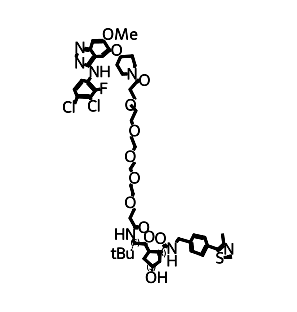 COc1cc2ncnc(Nc3ccc(Cl)c(Cl)c3F)c2cc1OC1CCN(C(=O)CCOCCOCCOCCOCCOCCC(=O)N[C@H](C(=O)C2C[C@H](O)C[C@H]2C(=O)NCc2ccc(-c3scnc3C)cc2)C(C)(C)C)CC1